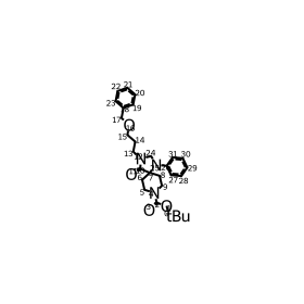 CC(C)(C)OC(=O)N1CCC2(CC1)C(=O)N(CCCOCc1ccccc1)CN2c1ccccc1